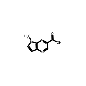 Cn1ccc2ncc(C(=O)O)nc21